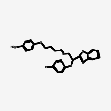 O=C(O)c1ccc(OCCCCNCC(Oc2ccc(Cl)cc2)c2nc3ccccc3o2)cc1